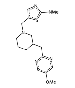 CNc1ncc(CN2CCCC(Cc3ncc(OC)cn3)C2)s1